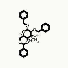 C[C@@]1(O)[C@H](OCc2ccccc2)[C@@H](OCc2ccccc2)O[C@@H]2COC(c3ccccc3)O[C@H]21